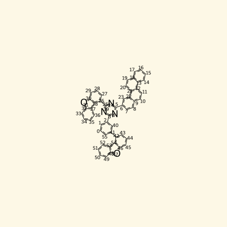 c1cc(-c2nc(-c3ccc4ccc5c6ccccc6ccc5c4c3)nc(-c3cccc4oc5ccccc5c34)n2)cc(-c2cccc3oc4ccccc4c23)c1